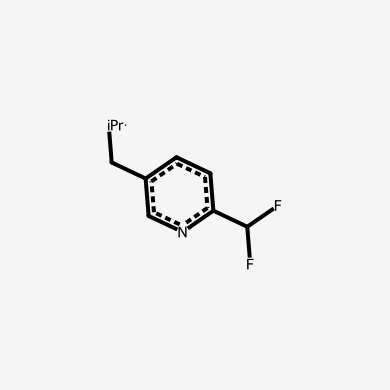 C[C](C)Cc1ccc(C(F)F)nc1